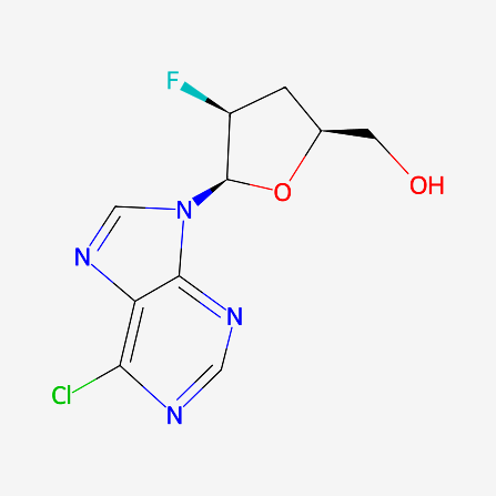 OC[C@@H]1C[C@H](F)[C@H](n2cnc3c(Cl)ncnc32)O1